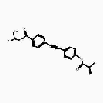 C=C(C)C(=O)Oc1ccc(C#Cc2ccc(C(=O)OC(CC)CCCC)cc2)cc1